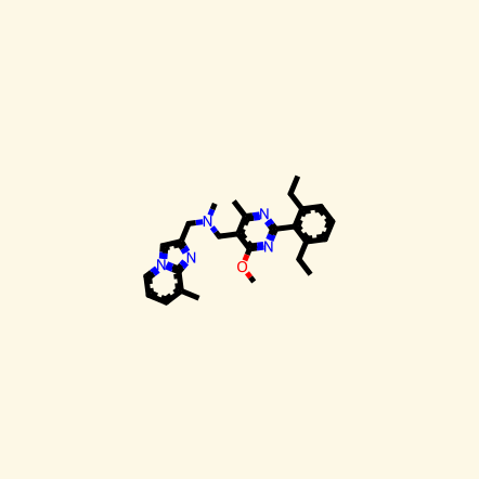 CCc1cccc(CC)c1-c1nc(C)c(CN(C)Cc2cn3cccc(C)c3n2)c(OC)n1